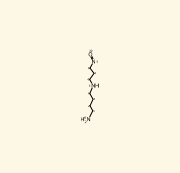 NCCCCNCCCN=O